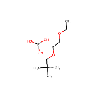 CCOCCOCC(C)(C)C.OB(O)O